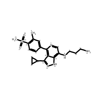 Cc1cc(-c2ncc(NCCCN)c3[nH]nc(C4CC4)c23)ccc1S(C)(=O)=O